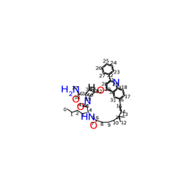 CCCC[C@@H]1NC(=O)CCCC(C)(C)/C=C/c2ccc3nc(-c4ccccc4)cc(c3c2)O[C@@H]2C[C@@H](C(N)=O)N(C2)C1=O